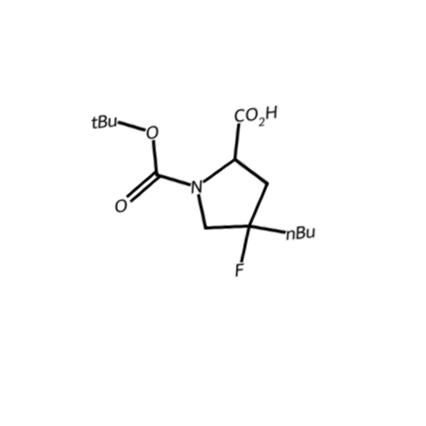 CCCCC1(F)CC(C(=O)O)N(C(=O)OC(C)(C)C)C1